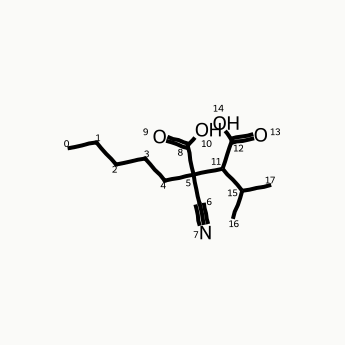 CCCCCC(C#N)(C(=O)O)C(C(=O)O)C(C)C